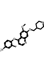 COc1cc2c(Oc3ccc(N)cc3F)ccnc2cc1OCC1CCNCC1